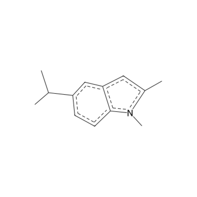 Cc1cc2cc(C(C)C)ccc2n1C